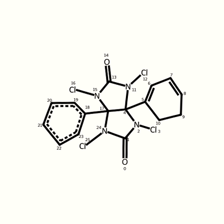 O=C1N(Cl)C2(C3=CC=CCC3)N(Cl)C(=O)N(Cl)C2(c2ccccc2)N1Cl